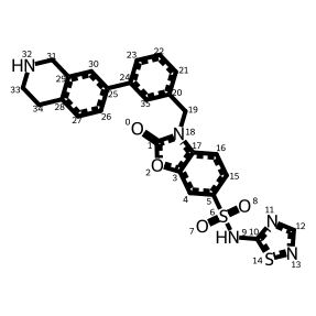 O=c1oc2cc(S(=O)(=O)Nc3ncns3)ccc2n1Cc1cccc(-c2ccc3c(c2)CNCC3)c1